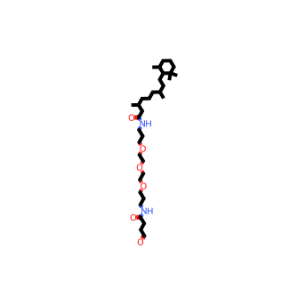 CC(CCCC(C)CC(=O)NCCCOCCOCCOCCCNC(=O)CCC=O)CCC1C(C)CCCC1(C)C